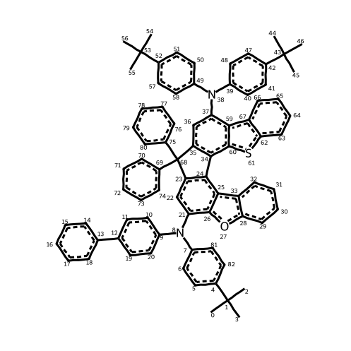 CC(C)(C)c1ccc(N(c2ccc(-c3ccccc3)cc2)c2cc3c(c4c2oc2ccccc24)-c2c(cc(N(c4ccc(C(C)(C)C)cc4)c4ccc(C(C)(C)C)cc4)c4c2sc2ccccc24)C3(c2ccccc2)c2ccccc2)cc1